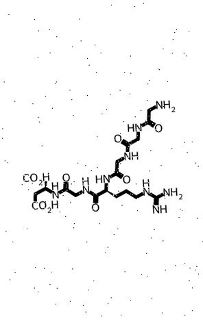 N=C(N)NCCC[C@H](NC(=O)CNC(=O)CNC(=O)CN)C(=O)NCC(=O)N[C@@H](CC(=O)O)C(=O)O